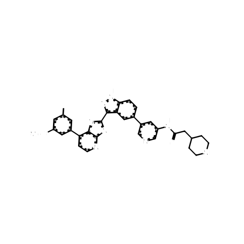 COc1cc(F)cc(-c2ccnc3[nH]c(-c4n[nH]c5ccc(-c6cncc(NC(=O)CC7CCNCC7)c6)cc45)nc23)c1